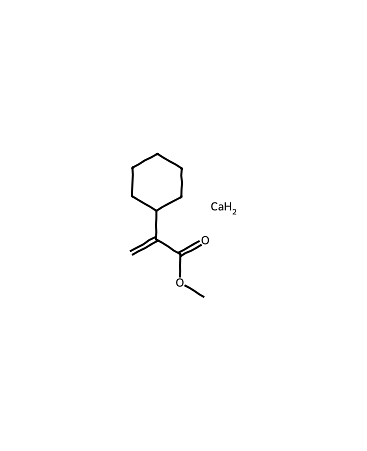 C=C(C(=O)OC)C1CCCCC1.[CaH2]